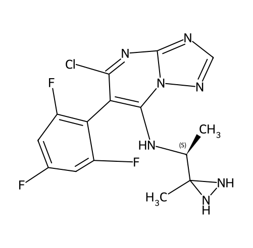 C[C@H](Nc1c(-c2c(F)cc(F)cc2F)c(Cl)nc2ncnn12)C1(C)NN1